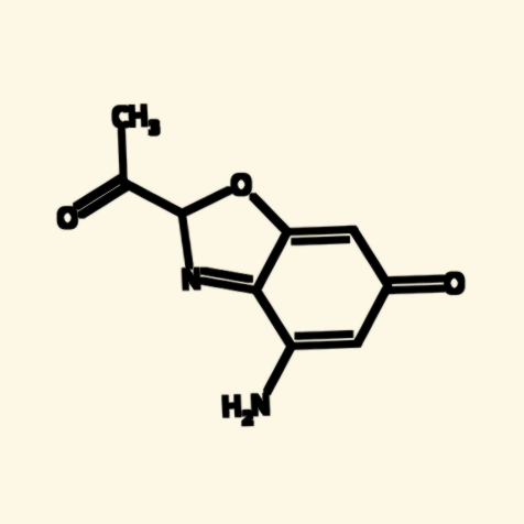 CC(=O)C1N=C2C(N)=CC(=O)C=C2O1